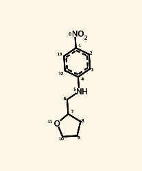 O=[N+]([O-])c1ccc(NCC2CCCO2)cc1